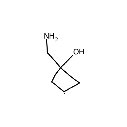 NCC1(O)C[CH]C1